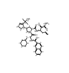 C=CCC(NC(=O)[C@@H]1C[C@H](n2nncc2C(C)(C)O)CN1C(=O)[C@@H](CC1CCCCC1)NC(=O)c1ccc2ccccc2c1)C(=O)C(N)=O